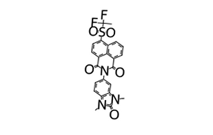 Cn1c(=O)n(C)c2cc(N3C(=O)c4cccc5c(S(=O)(=O)C(C)(F)F)ccc(c45)C3=O)ccc21